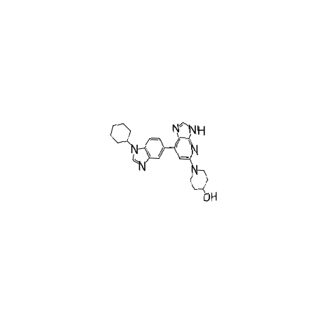 OC1CCN(c2cc(-c3ccc4c(c3)ncn4C3CCCCC3)c3nc[nH]c3n2)CC1